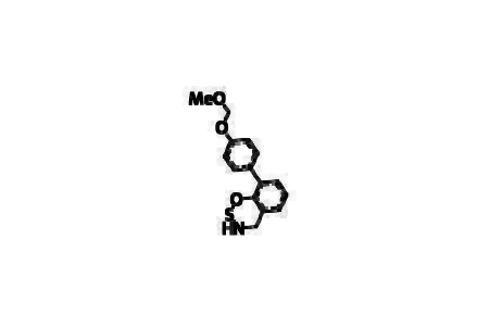 COCOc1ccc(-c2cccc3c2OSNC3)cc1